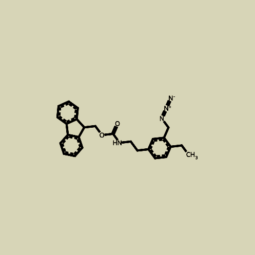 CCc1ccc(CCNC(=O)OCC2c3ccccc3-c3ccccc32)cc1CN=[N+]=[N-]